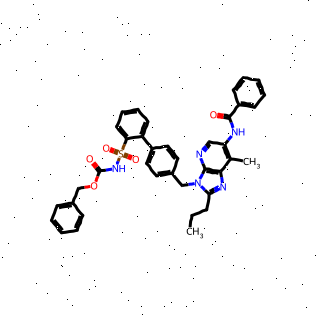 CCCc1nc2c(C)c(NC(=O)c3ccccc3)cnc2n1Cc1ccc(-c2ccccc2S(=O)(=O)NC(=O)OCc2ccccc2)cc1